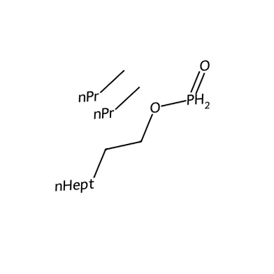 CCCC.CCCC.CCCCCCCCCO[PH2]=O